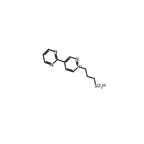 O=S(=O)(O)CCC[n+]1ccc(-c2ncccn2)cn1